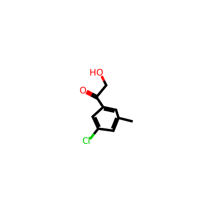 Cc1cc(Cl)cc(C(=O)CO)c1